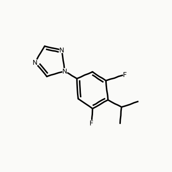 CC(C)c1c(F)cc(-n2cncn2)cc1F